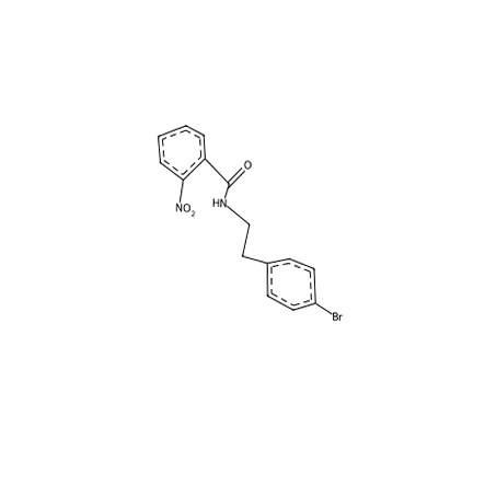 O=C(NCCc1ccc(Br)cc1)c1ccccc1[N+](=O)[O-]